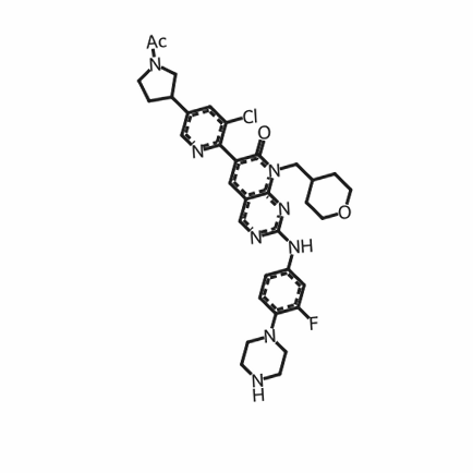 CC(=O)N1CCC(c2cnc(-c3cc4cnc(Nc5ccc(N6CCNCC6)c(F)c5)nc4n(CC4CCOCC4)c3=O)c(Cl)c2)C1